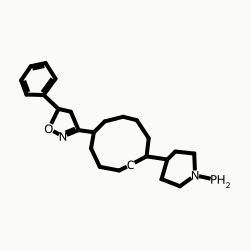 PN1CCC(C2CCCCC(C3=NOC(c4ccccc4)C3)CCCC2)CC1